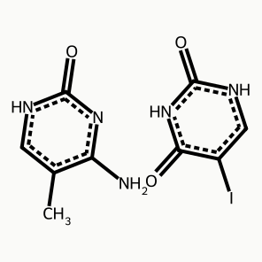 Cc1c[nH]c(=O)nc1N.O=c1[nH]cc(I)c(=O)[nH]1